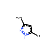 CCc1cc(NC)n[nH]1